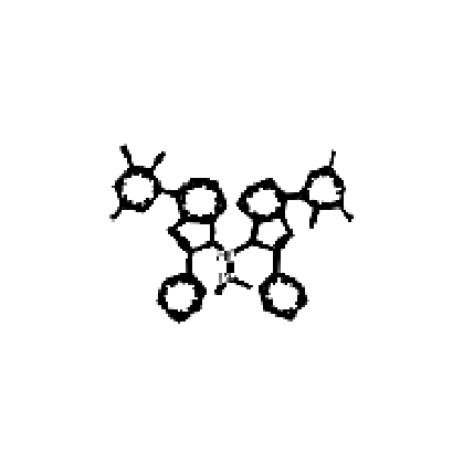 Cc1cc(C)c(C)c(-c2cccc3c2C=C(c2ccccc2)[CH]3[Hf]([CH]2C(c3ccccc3)=Cc3c(-c4cc(C)cc(C)c4C)cccc32)[SiH](C)C)c1